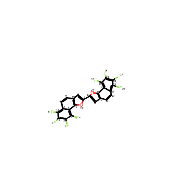 Fc1c(F)c(F)c2c(ccc3cc(-c4cc5ccc6c(F)c(F)c(F)c(F)c6c5o4)oc32)c1F